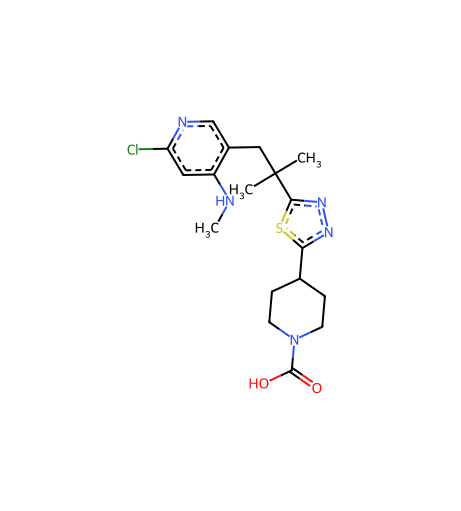 CNc1cc(Cl)ncc1CC(C)(C)c1nnc(C2CCN(C(=O)O)CC2)s1